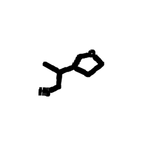 CC(CS)C1CCOC1